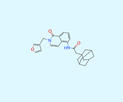 O=C(CC12CC3CC(CC(C3)C1)C2)Nc1cccc2c(=O)n(Cc3ccoc3)ccc12